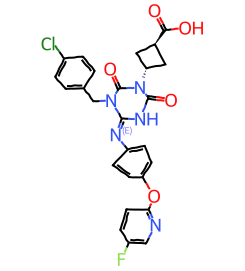 O=c1[nH]/c(=N\c2ccc(Oc3ccc(F)cn3)cc2)n(Cc2ccc(Cl)cc2)c(=O)n1[C@H]1C[C@H](C(=O)O)C1